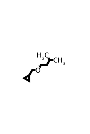 CC(C)C[CH]OCC1CC1